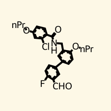 CCCOc1ccc(C(=O)NCc2cc(-c3ccc(F)c(C=O)c3)ccc2OCCC)c(Cl)c1